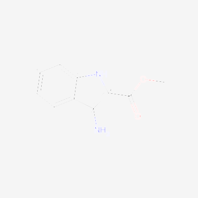 COC(=O)c1[nH]c2ccccc2c1N